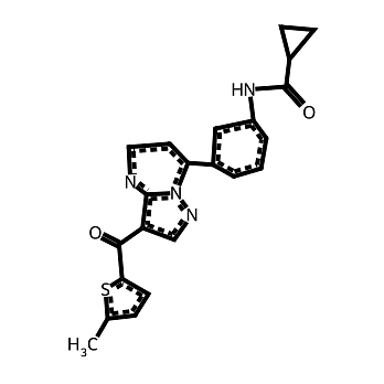 Cc1ccc(C(=O)c2cnn3c(-c4cccc(NC(=O)C5CC5)c4)ccnc23)s1